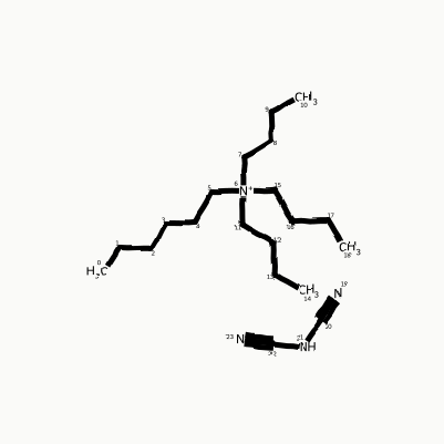 CCCCCC[N+](CCCC)(CCCC)CCCC.N#CNC#N